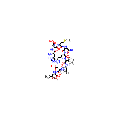 CSCC[C@H](NC(=O)[C@H](CC(=O)O)NC(=O)[C@@H](N)Cc1cnc[nH]1)C(=O)N[C@@H](CC(N)=O)C(=O)N[C@@H](CCCCN)C(=O)N[C@H](C(=O)N[C@@H](CC(C)C)C(=O)N[C@@H](CC(=O)O)C(=O)N[C@@H](CC(C)C)C(=O)O)C(C)C